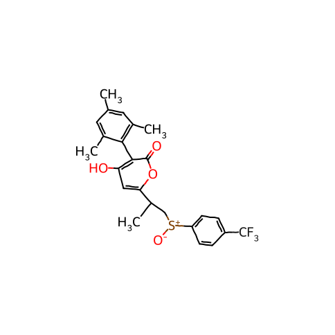 Cc1cc(C)c(-c2c(O)cc(C(C)C[S+]([O-])c3ccc(C(F)(F)F)cc3)oc2=O)c(C)c1